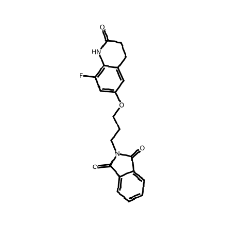 O=C1CCc2cc(OCCCN3C(=O)c4ccccc4C3=O)cc(F)c2N1